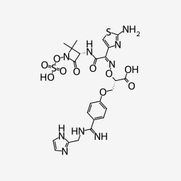 CC1(C)[C@H](NC(=O)/C(=N\O[C@@H](COc2ccc(C(=N)NCc3ncc[nH]3)cc2)C(=O)O)c2csc(N)n2)C(=O)N1OS(=O)(=O)O